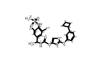 CC(NC(=O)Oc1coc(Oc2cccc(C3CCC3)c2)n1)c1cc(F)c(NS(C)(=O)=O)c(F)c1